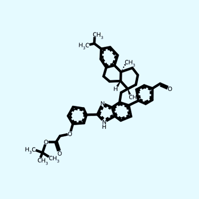 CC(C)c1ccc2c(c1)CC[C@H]1[C@@](C)(Cc3c(-c4ccc(C=O)cc4)ccc4[nH]c(-c5cccc(OCC(=O)OC(C)(C)C)c5)nc34)CCC[C@]21C